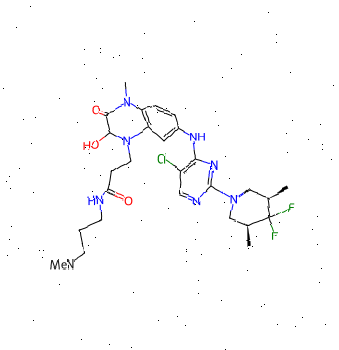 CNCCCNC(=O)CCN1c2cc(Nc3nc(N4C[C@@H](C)C(F)(F)[C@@H](C)C4)ncc3Cl)ccc2N(C)C(=O)C1O